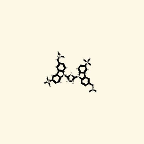 C[SiH](C)Cc1ccc2c(c1)c1cc([Si](C)(C)C)ccc1n2-c1nnc(-n2c3ccc(C[SiH](C)C)cc3c3cc([Si](C)(C)C)ccc32)o1